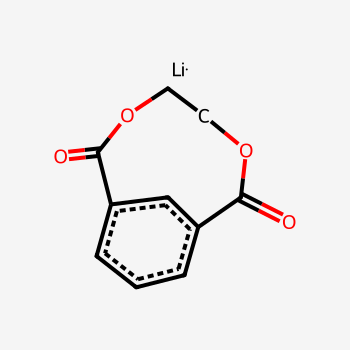 O=C1OCCOC(=O)c2cccc1c2.[Li]